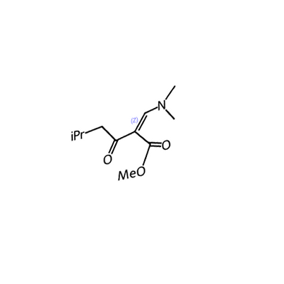 COC(=O)/C(=C\N(C)C)C(=O)CC(C)C